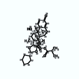 CC(C)C(=O)OCC(=O)[C@@]12O[C@@H](C3CCCCC3)O[C@H]1C[C@H]1[C@@H]3CCC4=CC(=O)C=C[C@]4(C)[C@H]3[C@@H](O)C[C@@]12C